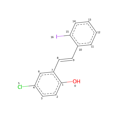 Oc1ccc(Cl)cc1/C=C/c1ccccc1I